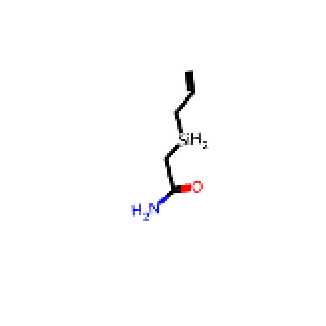 C=CC[SiH2]CC(N)=O